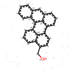 OCc1ccc2c3cccc4cc5ccccc5c(c5cccc1c25)c43